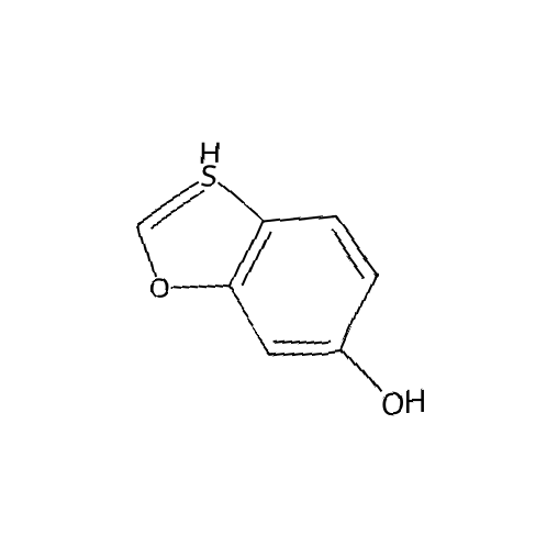 Oc1ccc2c(c1)OC=[SH]2